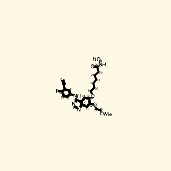 C#Cc1cc(Nc2ncnc3cc(OCCOC)c(OCCCCCCC(=O)NO)cc23)ccc1F